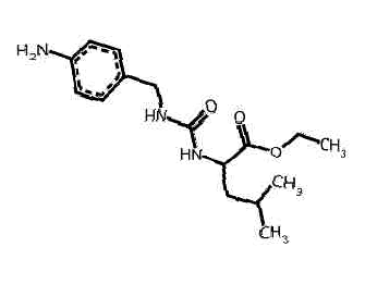 CCOC(=O)C(CC(C)C)NC(=O)NCc1ccc(N)cc1